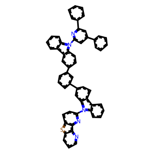 c1ccc(-c2cc(-c3ccccc3)nc(-n3c4ccccc4c4cc(-c5cccc(-c6ccc7c8ccccc8n(-c8ccc9sc%10cccnc%10c9n8)c7c6)c5)ccc43)c2)cc1